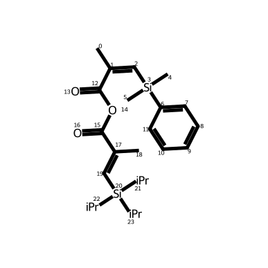 CC(=C[Si](C)(C)c1ccccc1)C(=O)OC(=O)C(C)=C[Si](C(C)C)(C(C)C)C(C)C